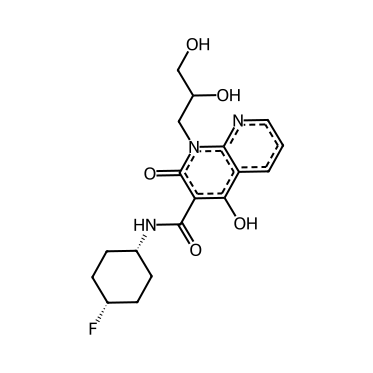 O=C(N[C@H]1CC[C@@H](F)CC1)c1c(O)c2cccnc2n(CC(O)CO)c1=O